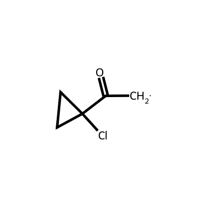 [CH2]C(=O)C1(Cl)CC1